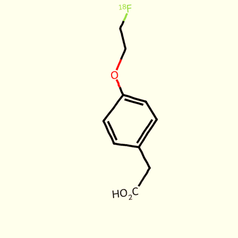 O=C(O)Cc1ccc(OCC[18F])cc1